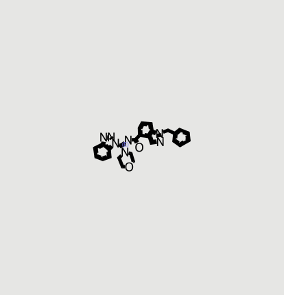 O=C(/N=C(\N1CCOCC1)n1nnc2ccccc21)c1cccc2c1cnn2Cc1ccccc1